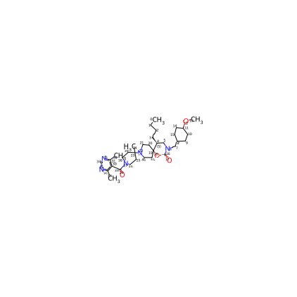 CCCC[C@H]1CN(CC2CCC(OC)CC2)C(=O)OC12CCN(C1(C)CCN(C(=O)c3c(C)ncnc3C)CC1)CC2